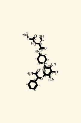 CCc1c(C#N)c(SC(C(N)=O)c2ccccc2)nc(N2CCC(NC(=O)[C@H](CO)NC(=O)OC(C)(C)C)CC2)c1C#N